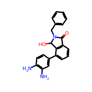 Nc1ccc(-c2cccc3c2C(O)N(Cc2ccccc2)C3=O)cc1N